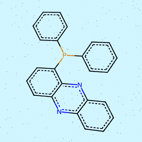 c1ccc(P(c2ccccc2)c2cccc3nc4ccccc4nc23)cc1